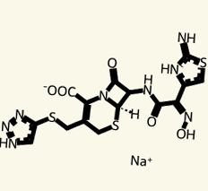 N=c1[nH]c(/C(=N/O)C(=O)NC2C(=O)N3C(C(=O)[O-])=C(CSc4c[nH]nn4)CS[C@H]23)cs1.[Na+]